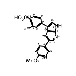 COc1ccc(-c2cnc3[nH]cc(-c4ccc(C(=O)O)c(F)c4)c3c2)cn1